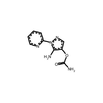 NC(=O)Oc1cnn(-c2ccccn2)c1N